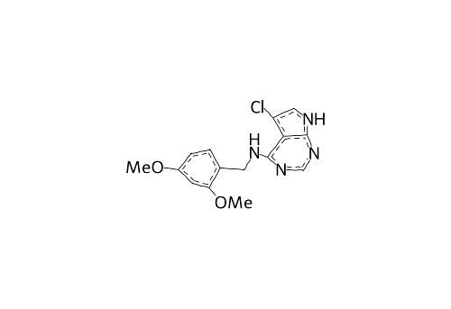 COc1ccc(CNc2ncnc3[nH]cc(Cl)c23)c(OC)c1